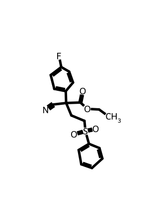 CCOC(=O)C(C#N)(CCS(=O)(=O)c1ccccc1)c1ccc(F)cc1